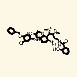 CCOc1ccc2c(Nc3ccc(OCc4ccccc4)c(Cl)c3)c(C#N)cnc2c1C(C(CCNC(=O)c1ccccc1O)N(C)C)N(C)C